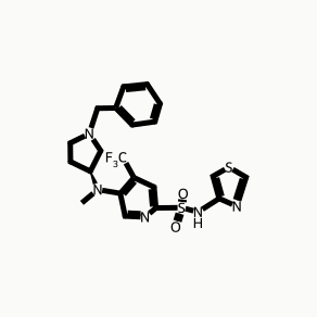 CN(c1cnc(S(=O)(=O)Nc2cscn2)cc1C(F)(F)F)[C@H]1CCN(Cc2ccccc2)C1